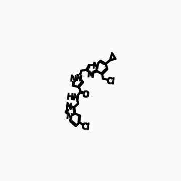 O=C(NCc1ncn2ccc(Cl)cc12)c1cnn(Cc2cn3cc(C4CC4)cc(CCl)c3n2)c1